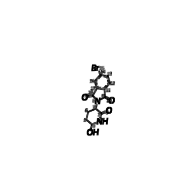 O=C1NC(O)CCC1N1C(=O)c2ccc(Br)cc2C1=O